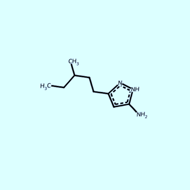 CCC(C)CCc1cc(N)[nH]n1